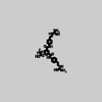 N=C(N)NCCc1ccc(NC(=O)c2ccnc(C(=O)Nc3ccc(CCNC(=N)N)cc3)c2)cc1.O=C(O)C(F)(F)F